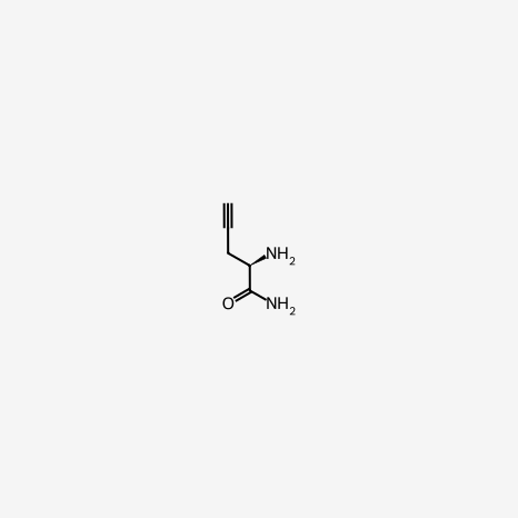 C#CC[C@@H](N)C(N)=O